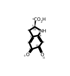 O=C1C=C2C[C@@H](C(=O)O)NC2=CC1=O